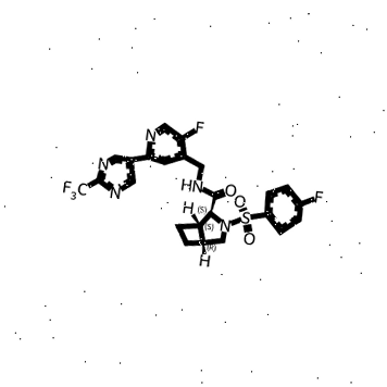 O=C(NCc1cc(-c2cnc(C(F)(F)F)nc2)ncc1F)[C@@H]1[C@H]2CC[C@H]2CN1S(=O)(=O)c1ccc(F)cc1